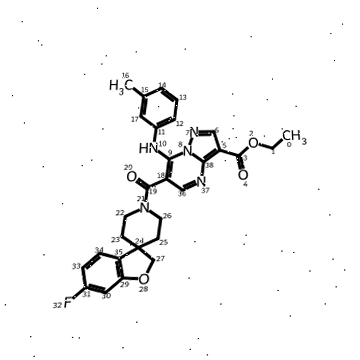 CCOC(=O)c1cnn2c(Nc3cccc(C)c3)c(C(=O)N3CCC4(CC3)COc3cc(F)ccc34)cnc12